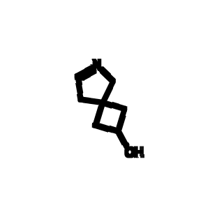 OC1CC2(CC=NC2)C1